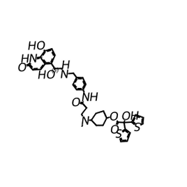 CN(CCC(=O)Nc1ccc(CNC[C@@H](O)c2ccc(O)c3[nH]c(=O)ccc23)cc1)C1CCC(OC(=O)C(O)(c2cccs2)c2cccs2)CC1